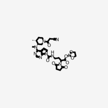 C[C@@H]1CCN(C(=O)CC#N)C[C@@H]1N(C)c1ncnc2c1ccn2C(=O)NCCC(C(=O)ON1OCCO1)N1C(=O)CCC1=O